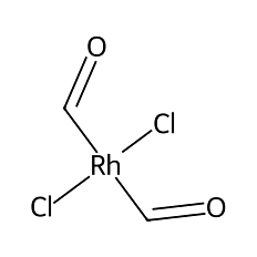 O=[CH][Rh]([Cl])([Cl])[CH]=O